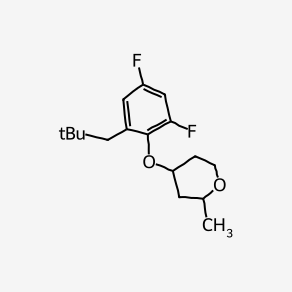 CC1CC(Oc2c(F)cc(F)cc2CC(C)(C)C)CCO1